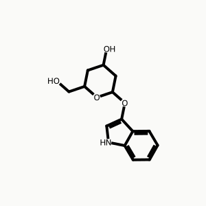 OCC1CC(O)CC(Oc2c[nH]c3ccccc23)O1